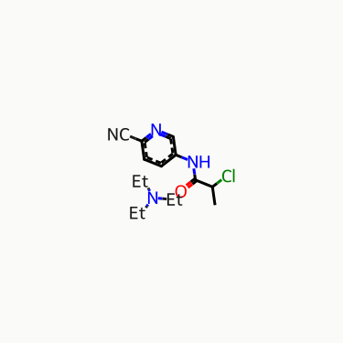 CC(Cl)C(=O)Nc1ccc(C#N)nc1.CCN(CC)CC